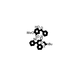 CCCCC(CC)COC(=O)C(C#N)=C(c1ccccc1)c1ccccc1.COc1cc(O)c(C(=O)c2ccccc2)cc1S(=O)(=O)O